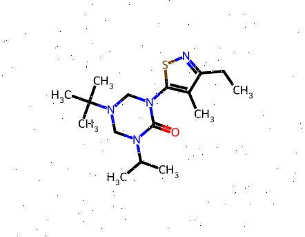 CCc1nsc(N2CN(C(C)(C)C)CN(C(C)C)C2=O)c1C